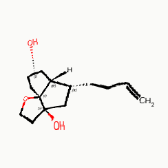 C=CCC[C@@H]1C[C@]2(O)CCO[C@@]23CC[C@H](O)C[C@H]13